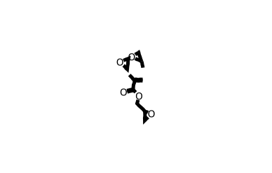 C1CO1.C=C(C)C(=O)OCC1CO1.CC1CO1